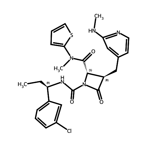 CC[C@@H](NC(=O)N1C(=O)[C@H](Cc2ccnc(NC)c2)[C@H]1C(=O)N(C)c1cccs1)c1cccc(Cl)c1